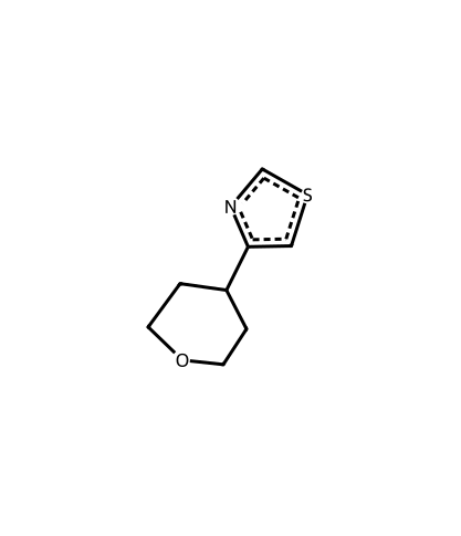 c1nc(C2CCOCC2)cs1